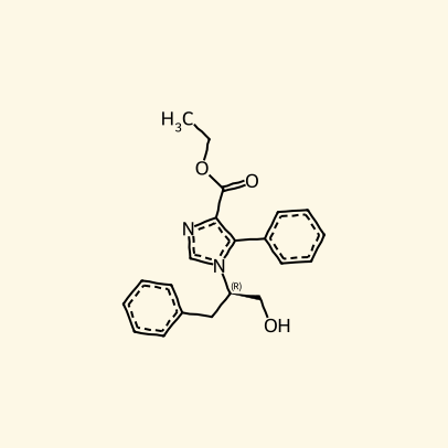 CCOC(=O)c1ncn([C@@H](CO)Cc2ccccc2)c1-c1ccccc1